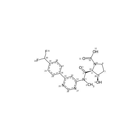 CN(C(=O)[C@@H]1[C@H](O)CCN1C(=O)O)c1cc(-c2ccc(C(F)F)cc2)ncn1